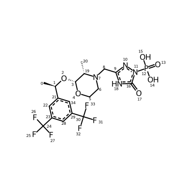 C[C@@H](O[C@H]1OCCN(Cc2nn(P(=O)(O)O)c(=O)[nH]2)[C@H]1C)c1cc(C(F)(F)F)cc(C(F)(F)F)c1